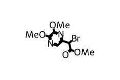 COC(=O)C(Br)c1cnc(OC)c(OC)n1